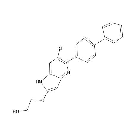 OCCOc1cc2nc(-c3ccc(-c4ccccc4)cc3)c(Cl)cc2[nH]1